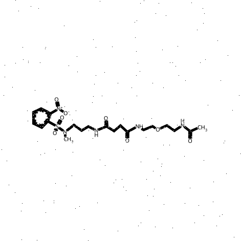 CC(=O)NCCOCCNC(=O)CCC(=O)NCCCN(C)S(=O)(=O)c1ccccc1[N+](=O)[O-]